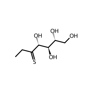 CCC(=S)[C@H](O)[C@H](O)[C@H](O)CO